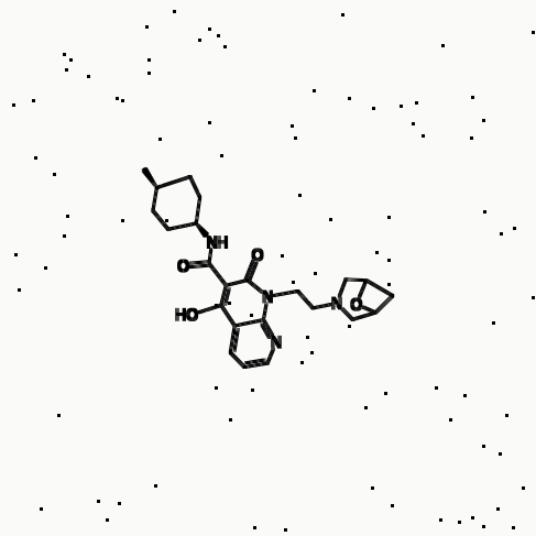 C[C@H]1CC[C@@H](NC(=O)c2c(O)c3cccnc3n(CCN3CC4CC(C3)O4)c2=O)CC1